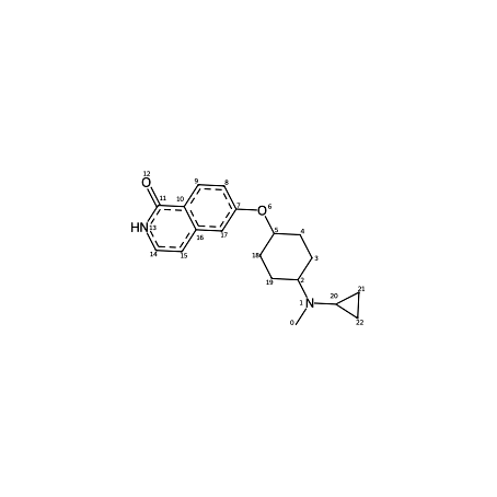 CN(C1CCC(Oc2ccc3c(=O)[nH]ccc3c2)CC1)C1CC1